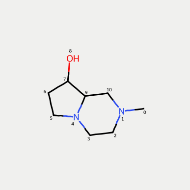 CN1CCN2CCC(O)C2C1